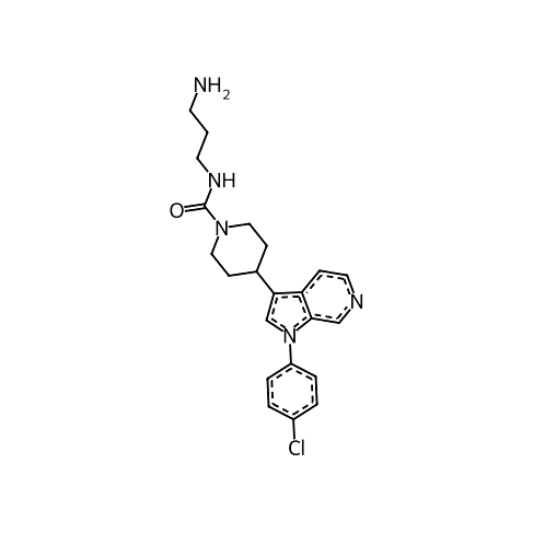 NCCCNC(=O)N1CCC(c2cn(-c3ccc(Cl)cc3)c3cnccc23)CC1